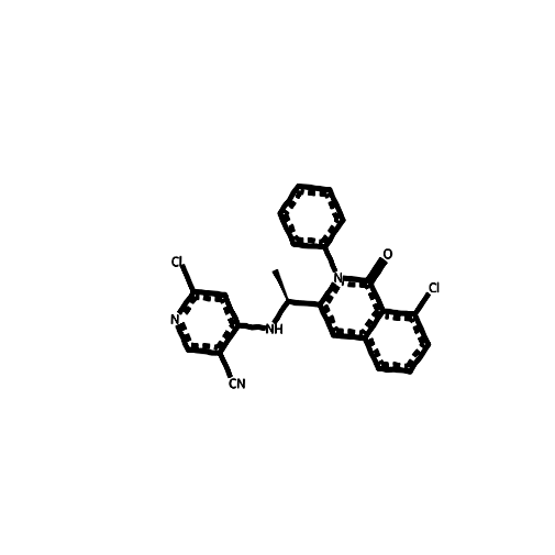 C[C@H](Nc1cc(Cl)ncc1C#N)c1cc2cccc(Cl)c2c(=O)n1-c1ccccc1